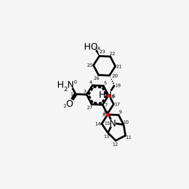 NC(=O)c1cccc(C2CC3CCC(C2)N3CCNC[C@H]2CC[C@H](O)CC2)c1